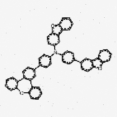 c1ccc2c(c1)Oc1ccccc1-c1cc(-c3ccc(N(c4ccc(-c5ccc6oc7ccccc7c6c5)cc4)c4ccc5oc6ccccc6c5c4)cc3)ccc1-2